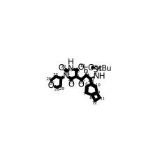 CC(C)(C)[S@@+]([O-])N[C@@H](c1ccc2c(c1)CC2)[C@@H](F)C(=O)C1C(=O)NC(=O)N(C2CCOCC2)C1=O